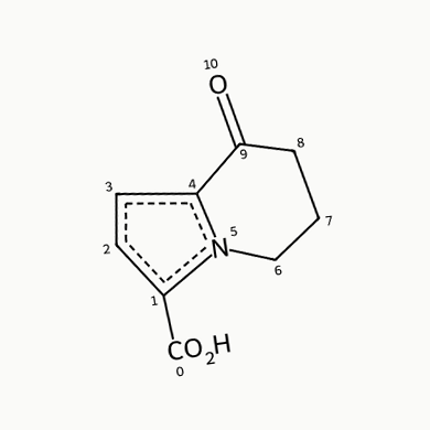 O=C(O)c1ccc2n1CCCC2=O